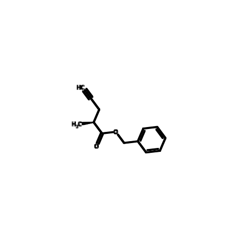 C#CC[C@H](C)C(=O)OCc1ccccc1